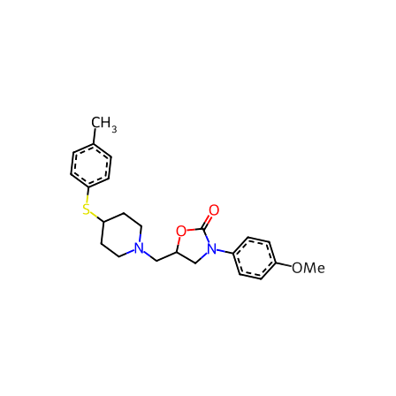 COc1ccc(N2CC(CN3CCC(Sc4ccc(C)cc4)CC3)OC2=O)cc1